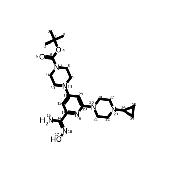 CC(C)(C)OC(=O)N1CCN(c2cc(/C(N)=N/O)nc(N3CCN(C4CC4)CC3)c2)CC1